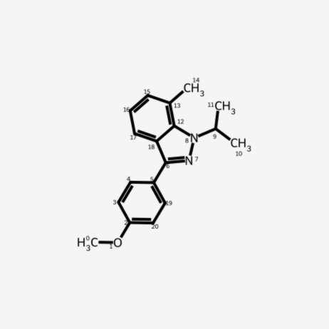 COc1ccc(-c2nn(C(C)C)c3c(C)cccc23)cc1